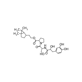 CC1(C)C2C(CCOC(=O)C3CCCN3C(=O)C(CO)NC(=O)C(O)Cc3ccc(O)c(O)c3)CCC21C